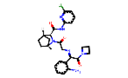 Nc1ccccc1/C(=N\CC(=O)N1[C@@H]2CC[C@@H](C2)[C@H]1C(=O)Nc1cccc(Cl)n1)C(=O)N1CCC1